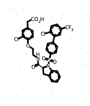 O=C(O)Cc1ccc(OCCNC(=O)[C@@H]2Cc3ccccc3N2S(=O)(=O)c2ccc(-c3cc(C(F)(F)F)ccc3Cl)cc2)c(Cl)c1